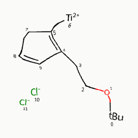 CC(C)(C)OCCC1=[C]([Ti+2])CC=C1.[Cl-].[Cl-]